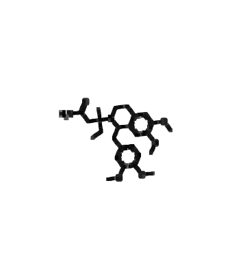 CCC(C)(CC(N)=O)N1CCc2cc(OC)c(OC)cc2C1Cc1ccc(OC)c(OC)c1